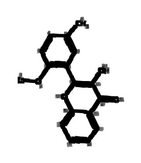 CCOc1ccc(C)cc1-c1oc2ccccc2c(=O)c1O